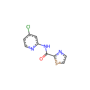 O=C(Nc1cc(Cl)ccn1)c1nccs1